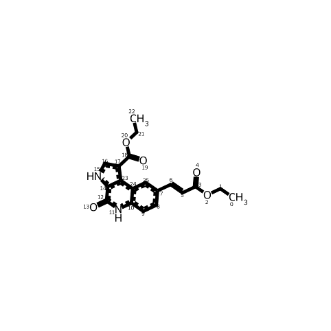 CCOC(=O)C=Cc1ccc2[nH]c(=O)c3[nH]cc(C(=O)OCC)c3c2c1